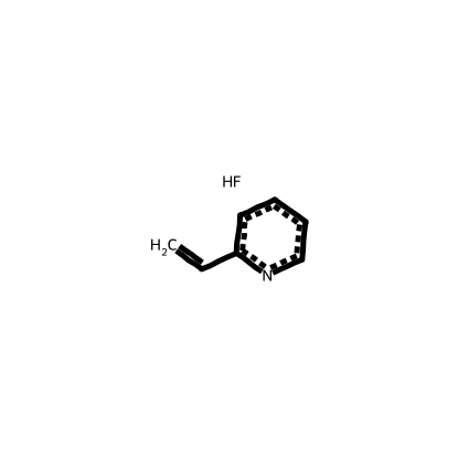 C=Cc1ccccn1.F